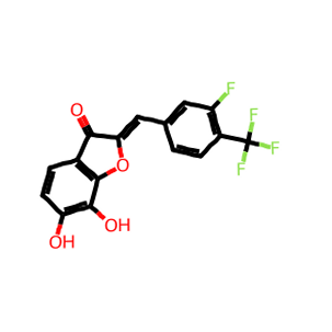 O=C1C(=Cc2ccc(C(F)(F)F)c(F)c2)Oc2c1ccc(O)c2O